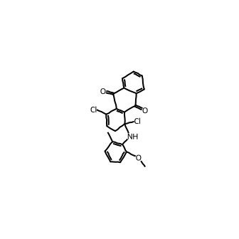 COc1cccc(C)c1NC1(Cl)CC=C(Cl)C2=C1C(=O)c1ccccc1C2=O